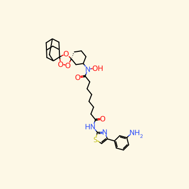 Nc1cccc(-c2csc(NC(=O)CCCCCCC(=O)N(O)C3CCC[C@]4(C3)OOC3(O4)C4CC5CC(C4)CC3C5)n2)c1